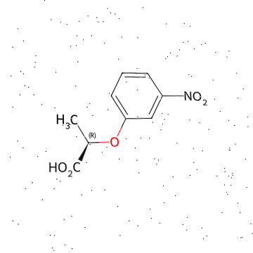 C[C@@H](Oc1cccc([N+](=O)[O-])c1)C(=O)O